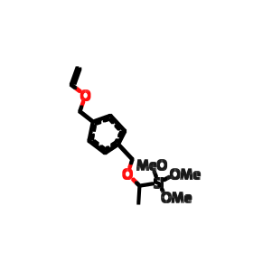 C=COCc1ccc(COC(C)[Si](OC)(OC)OC)cc1